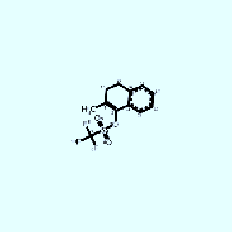 CC1=C(OS(=O)(=O)C(F)(F)F)c2ccccc2CC1